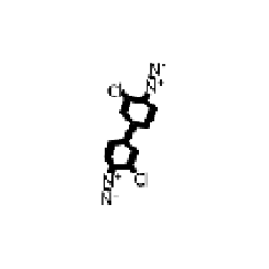 [N-]=[N+]=C1C=C/C(=C2/C=CC(=[N+]=[N-])C(Cl)=C2)C=C1Cl